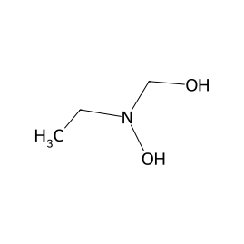 CCN(O)CO